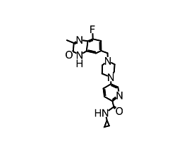 Cc1nc2c(F)cc(CN3CCN(c4ccc(C(=O)NC5CC5)nc4)CC3)cc2[nH]c1=O